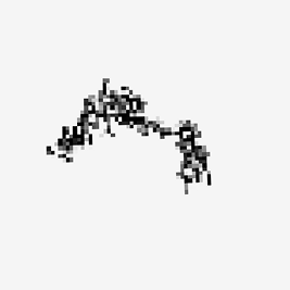 CC(C)(C)C(NC(=O)c1cc2cc(C(F)(F)P(=O)(O)O)ccc2s1)C(=O)N1CCC[C@H]1C(=O)N(CCC(=O)NCCCC#Cc1cccc2c1CN(C1CCC(=O)NC1=O)C2=O)c1cccc(C(F)(F)F)c1